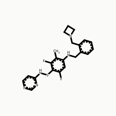 Cc1c(NCc2ccccc2CN2CCC2)cc(F)c(SNc2ccncn2)c1F